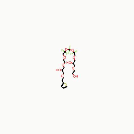 OCCOCC(O)COCC(F)(F)OC(F)(F)OC(F)(F)COCCOCC(O)COCCc1cccs1